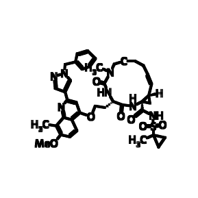 COc1ccc2c(OCC[C@@H]3NC(=O)N(C)CCCCC=C[C@@H]4C[C@@]4(C(=O)NS(=O)(=O)C4(C)CC4)NC3=O)cc(-c3cnn(Cc4ccccc4)c3)nc2c1C